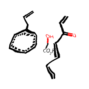 C=CC=CC(=O)C=C.C=Cc1ccccc1.O=C(O)O